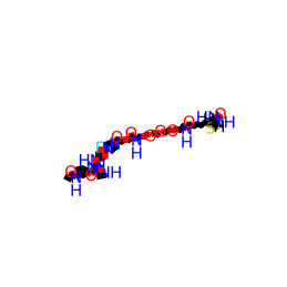 C=CC(=O)Nc1cccc(Oc2nc(Nc3ccc(N4CCN(C(=O)CCCC(=O)NCCCOCCOCCOCCCNC(=O)CCCCC5SC[C@@H]6NC(=O)N[C@H]56)CC4)c(F)c3)nc3[nH]ccc23)c1